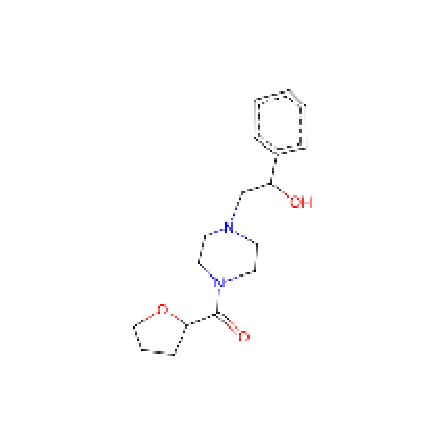 O=C(C1CCCO1)N1CCN(CC(O)c2ccccc2)CC1